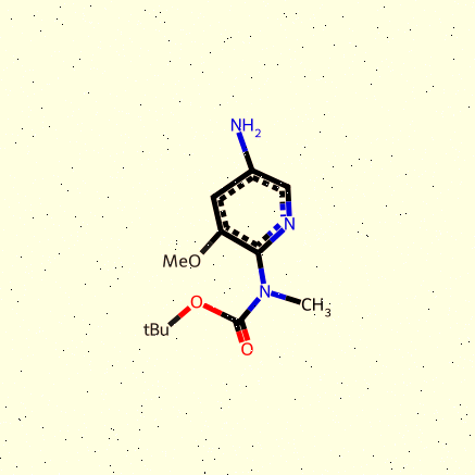 COc1cc(N)cnc1N(C)C(=O)OC(C)(C)C